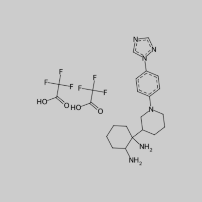 NC1CCCCC1(N)C1CCCN(c2ccc(-n3cncn3)cc2)C1.O=C(O)C(F)(F)F.O=C(O)C(F)(F)F